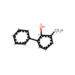 O=C(O)c1c[c]cc(-c2ccccc2)c1O